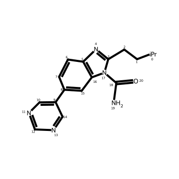 CC(C)CCc1nc2ccc(-c3cncnc3)cc2n1C(N)=O